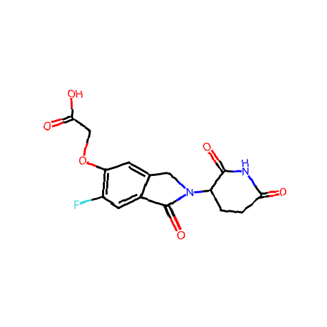 O=C(O)COc1cc2c(cc1F)C(=O)N(C1CCC(=O)NC1=O)C2